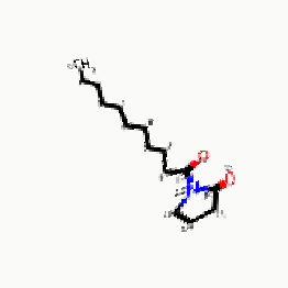 CCCCCCCCCCC(=O)N1CCCC1=O